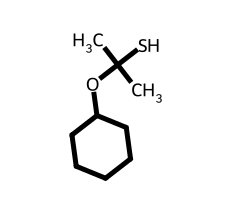 CC(C)(S)OC1CCCCC1